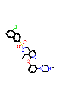 CCc1c(CNS(=O)(=O)c2ccc3c(Cl)cccc3c2)ccnc1Oc1cccc(N2CCN(C)CC2)c1